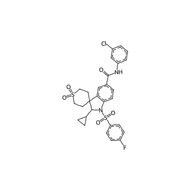 O=C(Nc1cccc(Cl)c1)c1ccc2c(c1)C1(CCS(=O)(=O)CC1)C(C1CC1)N2S(=O)(=O)c1ccc(F)cc1